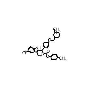 Cc1ccc(OC(=O)N2CCc3c([nH]c4ccc(Cl)cc34)C2c2ccc(OCC3CCCN(C)C3)cc2)cc1